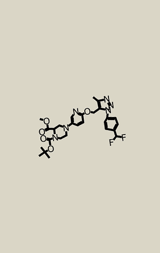 COC(=O)C1CN(c2ccc(OCc3c(C)nnn3-c3ccc(C(F)F)cc3)nc2)CCN1C(=O)OC(C)(C)C